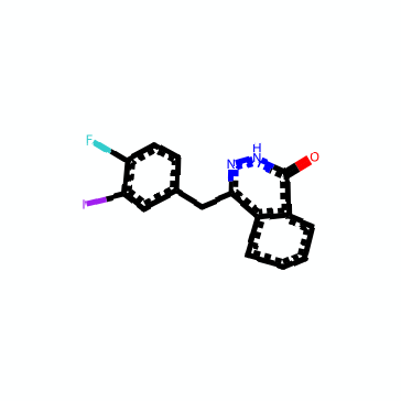 O=c1[nH]nc(Cc2ccc(F)c(I)c2)c2ccccc12